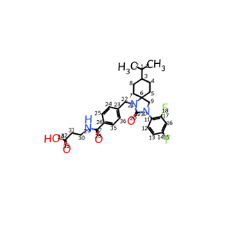 CC(C)C1CCC2(CC1)CN(c1ccc(F)cc1F)C(=O)N2Cc1ccc(C(=O)NCCC(=O)O)cc1